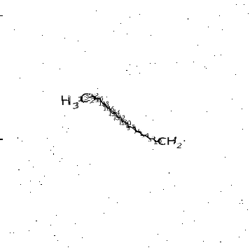 [CH2]CCCCCC/C=C/CCCCCCCCCCCCCCC